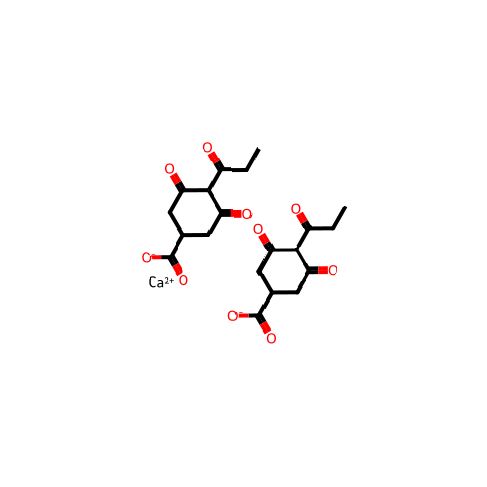 CCC(=O)C1C(=O)CC(C(=O)[O-])CC1=O.CCC(=O)C1C(=O)CC(C(=O)[O-])CC1=O.[Ca+2]